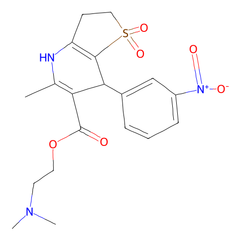 CC1=C(C(=O)OCCN(C)C)C(c2cccc([N+](=O)[O-])c2)C2=C(CCS2(=O)=O)N1